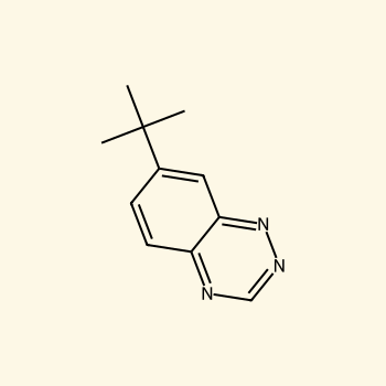 CC(C)(C)c1ccc2ncnnc2c1